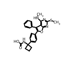 CNc1nc(SC)nc2oc(-c3ccc(C4(NC(=O)O)CCC4)cc3)c(-c3ccccc3)c12